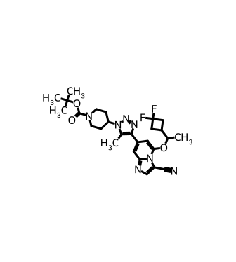 Cc1c(-c2cc(OC(C)C3CC(F)(F)C3)n3c(C#N)cnc3c2)nnn1C1CCN(C(=O)OC(C)(C)C)CC1